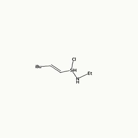 CCN[SiH](Cl)C=CC(C)CC